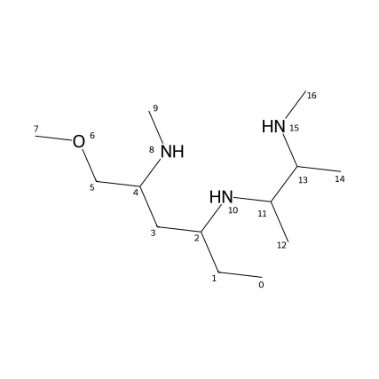 CCC(CC(COC)NC)NC(C)C(C)NC